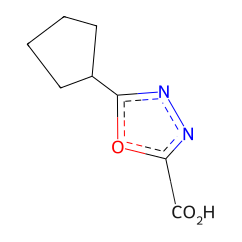 O=C(O)c1nnc(C2CCCC2)o1